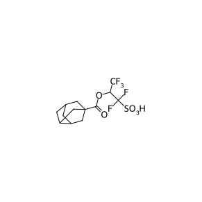 O=C(OC(C(F)(F)F)C(F)(F)S(=O)(=O)O)C12CC3CC(C1)C(C3)C2